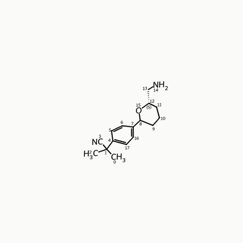 CC(C)(C#N)c1ccc(C2CCC[C@@H](CN)O2)cc1